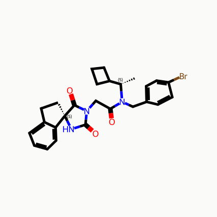 C[C@@H](C1CCC1)N(Cc1ccc(Br)cc1)C(=O)CN1C(=O)N[C@]2(CCc3ccccc32)C1=O